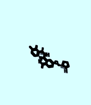 Cc1cccc([C@@H](C)Nc2nnc(C)c3ccc(OC[C@@H]4CCCN4)cc23)c1C